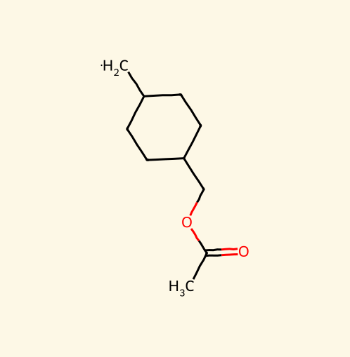 [CH2]C1CCC(COC(C)=O)CC1